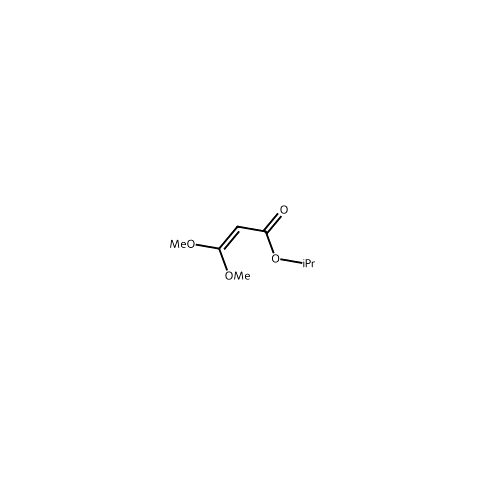 COC(=CC(=O)OC(C)C)OC